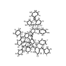 c1ccc(N2c3ccccc3B3c4cc5c(cc4N(c4ccccc4)c4cccc2c43)c2c3c(cc4c6cc7c(cc6n5c42)N(c2ccccc2)c2cccc4c2B7c2ccccc2N4c2ccccc2)N(c2ccccc2)c2cccc4c2B3c2ccccc2N4c2ccccc2)cc1